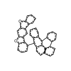 c1ccc(-c2ccccc2-c2c3ccccc3c(-c3cccc4oc5cc6oc7ccccc7c6cc5c34)c3ccccc23)cc1